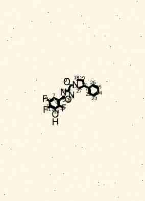 O=C(c1noc(-c2cc(F)c(F)c(O)c2F)n1)N1CCC(c2ccccc2)C1